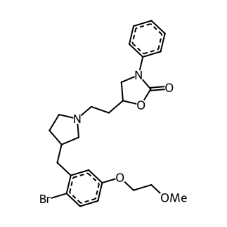 COCCOc1ccc(Br)c(CC2CCN(CCC3CN(c4ccccc4)C(=O)O3)C2)c1